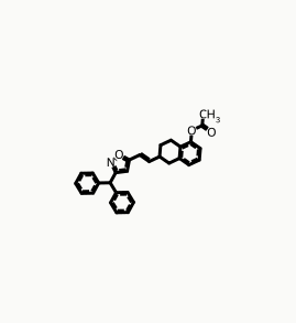 CC(=O)Oc1cccc2c1CCC(C=Cc1cc(C(c3ccccc3)c3ccccc3)no1)C2